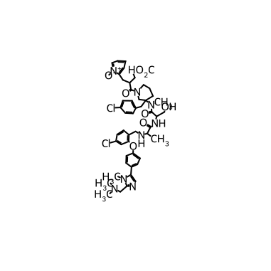 CC(NCc1ccc(Cl)cc1Oc1ccc(-c2cnc(CN(C)C)n2C)cc1)C(=O)NC(CO)C(=O)N(C)C1(Cc2ccc(Cl)cc2)CCCN(C(=O)C(CC(=O)O)Cc2cccc[n+]2[O-])C1